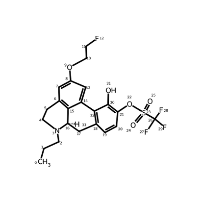 CCCN1CCc2cc(OCCF)cc3c2[C@H]1Cc1ccc(OS(=O)(=O)C(F)(F)F)c(O)c1-3